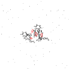 C[SiH](C)O[SiH](O[SiH](O[Si](C)(C)O[SiH](C)C)c1ccccc1)c1ccccc1